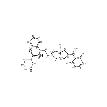 Cc1ncnc(C)c1C(=O)N1CC2CN(CCC(NC(=O)C3CCCOC3)c3ccccc3)C[C@H]2C1